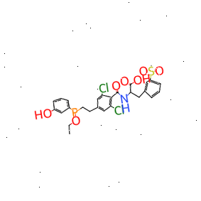 CCOP(CCc1cc(Cl)c(C(=O)NC(Cc2cccc(S(C)(=O)=O)c2)C(=O)O)c(Cl)c1)c1cccc(O)c1